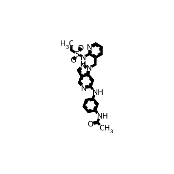 CCS(=O)(=O)Nc1ncccc1Cn1ncc2cnc(Nc3cccc(NC(C)=O)c3)cc21